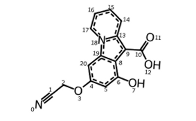 N#CCOc1cc(O)c2c(C(=O)O)c3ccccn3c2c1